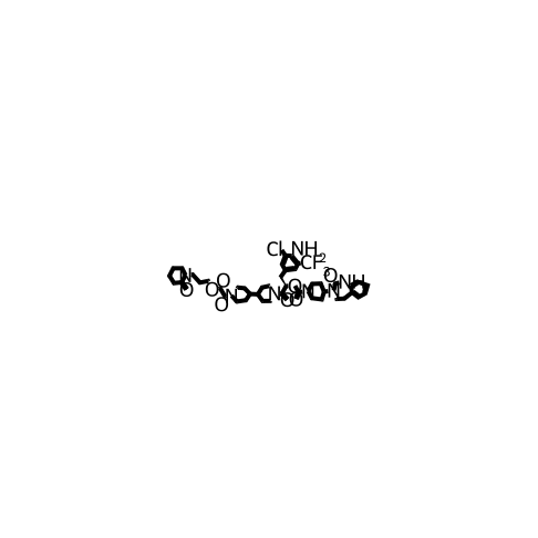 Nc1c(Cl)cc(C[C@@H](OC(=O)N2CCC(N3CCc4ccccc4NC3=O)CC2)C(=O)N2CCC(C3CCN(C(=O)C(=O)OCCCN4CCCCC4=O)CC3)CC2)cc1C(F)(F)F